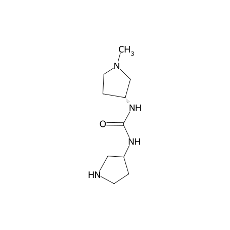 CN1CC[C@@H](NC(=O)NC2CCNC2)C1